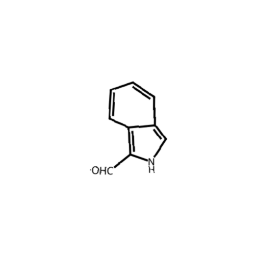 O=[C]c1[nH]cc2ccccc12